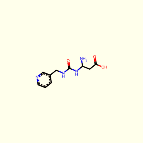 NC(CC(=O)O)NC(=O)NCc1cccnc1